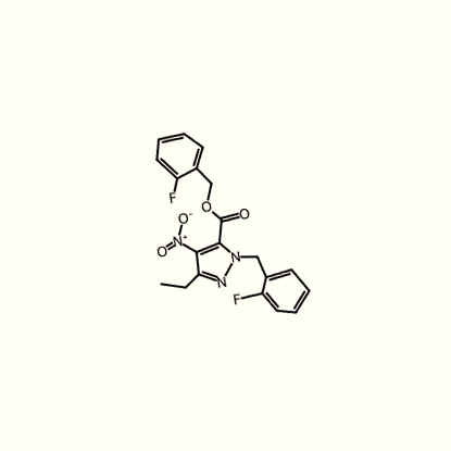 CCc1nn(Cc2ccccc2F)c(C(=O)OCc2ccccc2F)c1[N+](=O)[O-]